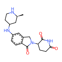 C[C@H]1CC(Nc2ccc3c(c2)CN(C2CCC(=O)NC2=O)C3=O)CCN1